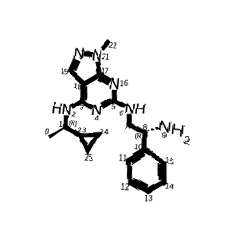 C[C@@H](Nc1nc(NC[C@H](N)c2ccccc2)nc2c1cnn2C)C1CC1